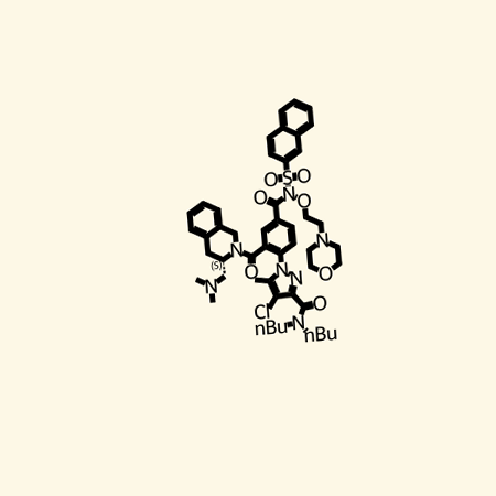 CCCCN(CCCC)C(=O)c1nn(-c2ccc(C(=O)N(OCCN3CCOCC3)S(=O)(=O)c3ccc4ccccc4c3)cc2C(=O)N2Cc3ccccc3C[C@H]2CN(C)C)c(C)c1Cl